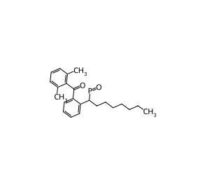 CCCCCCCC(P=O)c1ccccc1C(=O)c1c(C)cccc1C